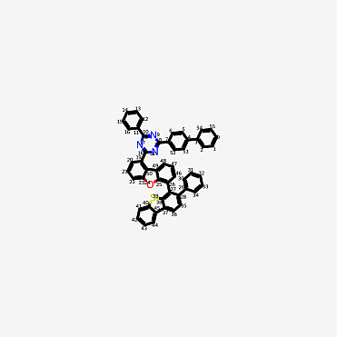 c1ccc(-c2ccc(-c3nc(-c4ccccc4)nc(-c4cccc5oc6c(-c7c(-c8ccccc8)ccc8c7sc7ccccc78)cccc6c45)n3)cc2)cc1